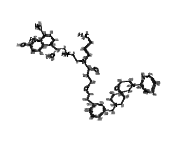 CCCCN(CCNC[C@H](O)c1ccc(O)c2[nH]c(=O)ccc12)C(=O)CCOCCc1cccc(CN2CCC3(CC2)CN(c2ccccn2)CCO3)c1